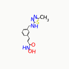 Cc1nnc(NCc2cccc(/C=C/C(=O)NO)c2)s1